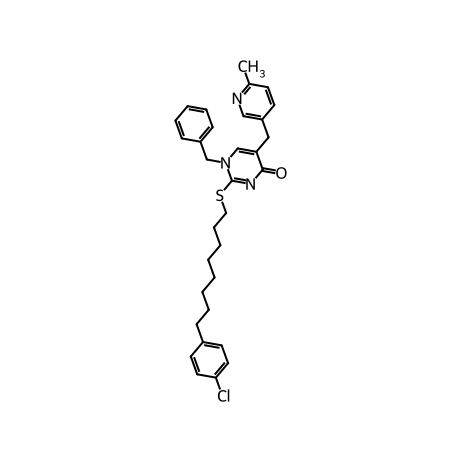 Cc1ccc(Cc2cn(Cc3ccccc3)c(SCCCCCCCCc3ccc(Cl)cc3)nc2=O)cn1